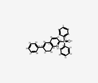 O=P(c1ccccc1)(c1ccccc1)c1ccc2c(n1)CCC(c1ccccc1)=C2